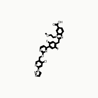 COCCn1c(Cc2cc(F)c(-c3ccnc(OCc4cnc(-n5ccnn5)cc4Cl)n3)cc2F)nc2ccc(C(=O)O)cc21